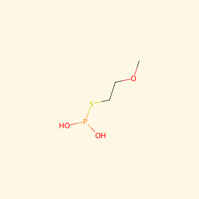 COCCSP(O)O